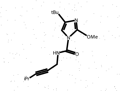 COc1nc(C(C)(C)C)cn1C(=O)NCC#CC(C)C